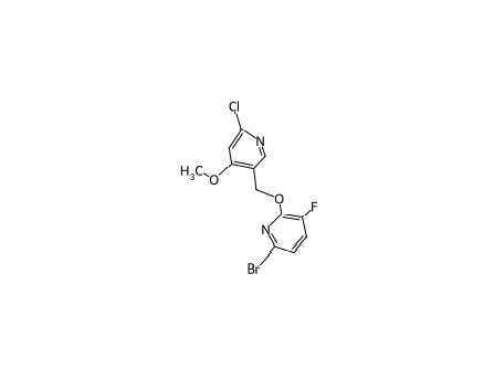 COc1cc(Cl)ncc1COc1nc(Br)ccc1F